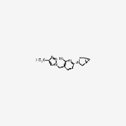 O=C(O)c1cn(Cc2ccc(N3CC4CC4C3)nc2Br)nn1